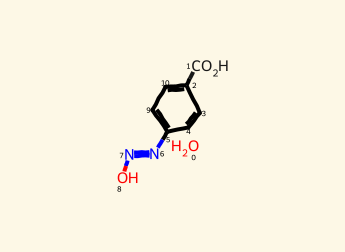 O.O=C(O)c1ccc(N=NO)cc1